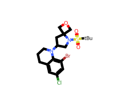 CC(C)(C)S(=O)(=O)N1CC(N2CCCc3cc(Cl)cc(Br)c32)CC12COC2